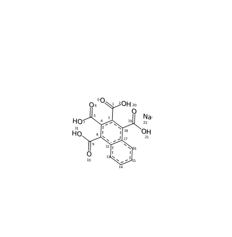 O=C(O)c1c(C(=O)O)c(C(=O)O)c2ccccc2c1C(=O)O.[Na]